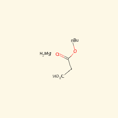 CCCCOC(=O)CC(=O)O.[MgH2]